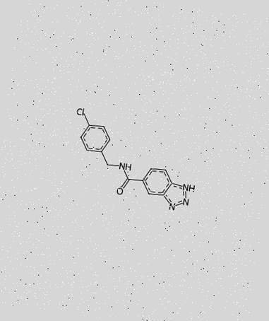 O=C(NCc1ccc(Cl)cc1)c1ccc2[nH]nnc2c1